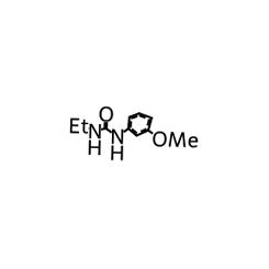 CCNC(=O)Nc1cccc(OC)c1